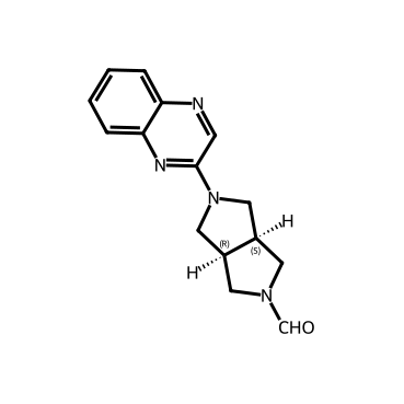 O=CN1C[C@@H]2CN(c3cnc4ccccc4n3)C[C@@H]2C1